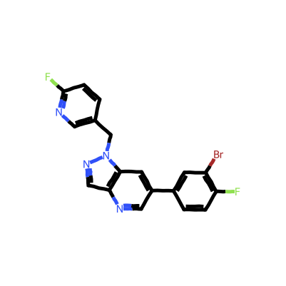 Fc1ccc(Cn2ncc3ncc(-c4ccc(F)c(Br)c4)cc32)cn1